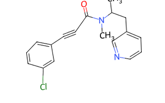 CC(Cc1cccnc1)N(C)C(=O)C#Cc1cccc(Cl)c1